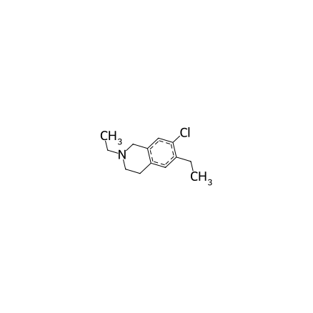 CCc1cc2c(cc1Cl)CN(CC)CC2